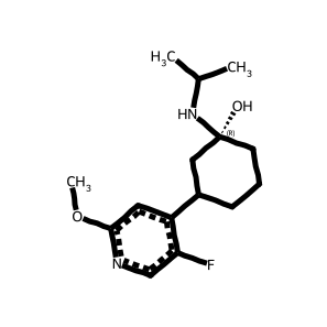 COc1cc(C2CCC[C@](O)(NC(C)C)C2)c(F)cn1